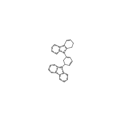 C1=CC(n2c3ccccc3c3ccccc32)CC(n2c3c(c4ccccc42)C=CCC3)=C1